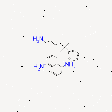 CC(C)(CCCCN)c1ccccc1.Nc1cccc2c(N)cccc12